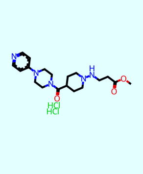 COC(=O)CCNN1CCC(C(=O)N2CCN(c3ccncc3)CC2)CC1.Cl.Cl